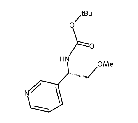 COC[C@@H](NC(=O)OC(C)(C)C)c1cccnc1